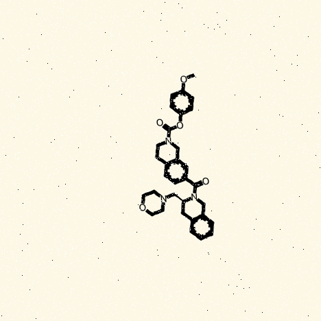 COc1ccc(OC(=O)N2CCc3ccc(C(=O)N4Cc5ccccc5C[C@H]4CN4CCOCC4)cc3C2)cc1